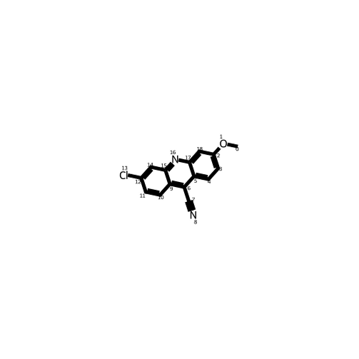 COc1ccc2c(C#N)c3ccc(Cl)cc3nc2c1